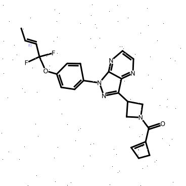 C/C=C/C(F)(F)Oc1ccc(-n2nc(C3CN(C(=O)C4=CCC4)C3)c3nccnc32)cc1